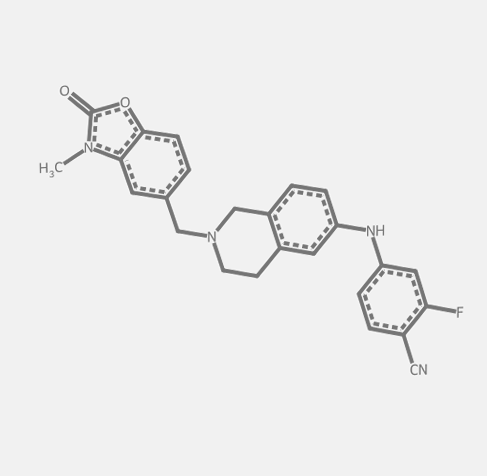 Cn1c(=O)oc2ccc(CN3CCc4cc(Nc5ccc(C#N)c(F)c5)ccc4C3)cc21